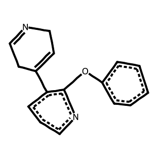 C1=NCC=C(c2cccnc2Oc2ccccc2)C1